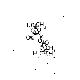 CC(C)(C)OC(=O)OC[C@@H]1OC(C)(C)O[C@H]1C=O